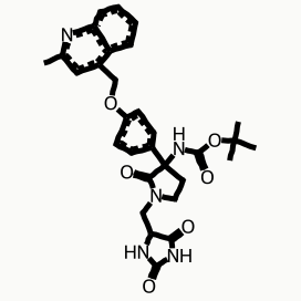 Cc1cc(COc2ccc(C3(NC(=O)OC(C)(C)C)CCN(CC4NC(=O)NC4=O)C3=O)cc2)c2ccccc2n1